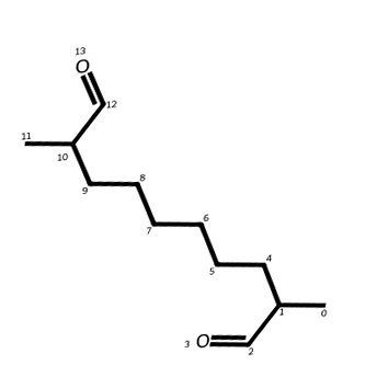 CC(C=O)CCCCCCC(C)C=O